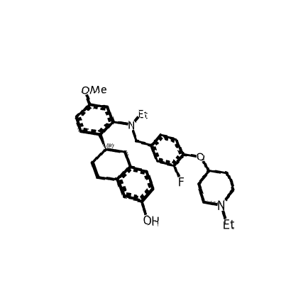 CCN1CCC(Oc2ccc(CN(CC)c3cc(OC)ccc3[C@@H]3CCc4cc(O)ccc4C3)cc2F)CC1